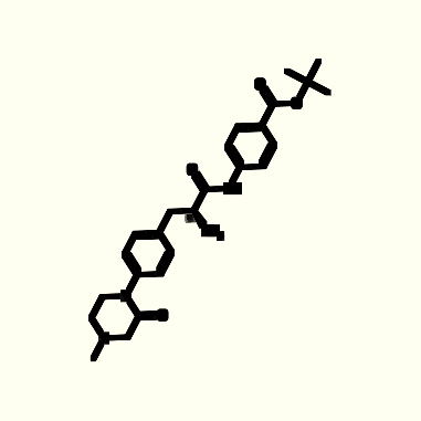 CN1CCN(c2ccc(C[C@H](N)C(=O)Nc3ccc(C(=O)OC(C)(C)C)cc3)cc2)C(=O)C1